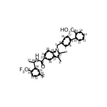 Cc1c(C)n(Cc2ccc(-c3ccccc3C(=O)O)cc2)c2ccc(C(=O)NC(C)c3cc(F)ccc3C(F)(F)F)cc12